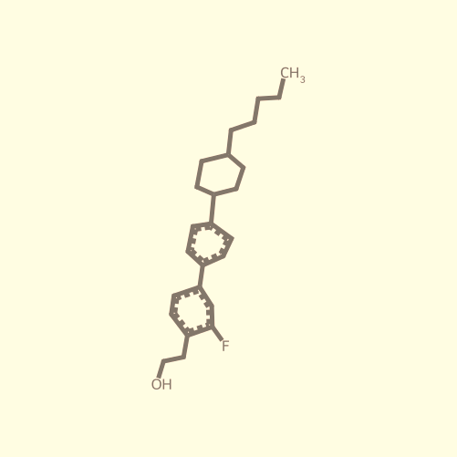 CCCCCC1CCC(c2ccc(-c3ccc(CCO)c(F)c3)cc2)CC1